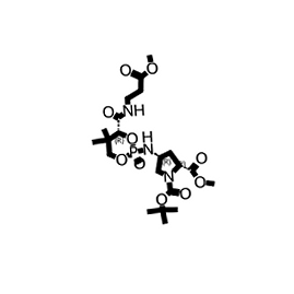 COC(=O)CCNC(=O)[C@@H]1OP(=O)(N[C@@H]2C[C@H](C(=O)OC)N(C(=O)OC(C)(C)C)C2)OCC1(C)C